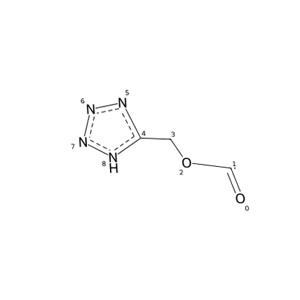 O=[C]OCc1nnn[nH]1